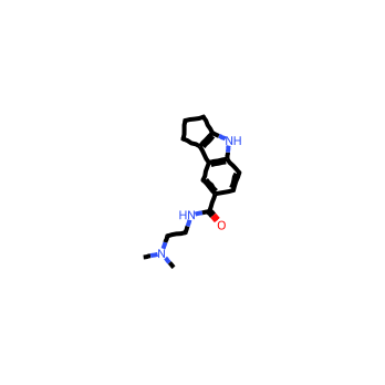 CN(C)CCNC(=O)c1ccc2[nH]c3c(c2c1)CCC3